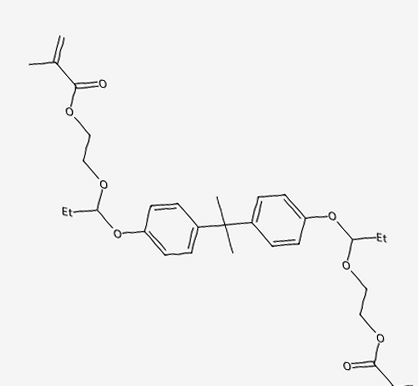 C=C(C)C(=O)OCCOC(CC)Oc1ccc(C(C)(C)c2ccc(OC(CC)OCCOC(=O)C(=C)C)cc2)cc1